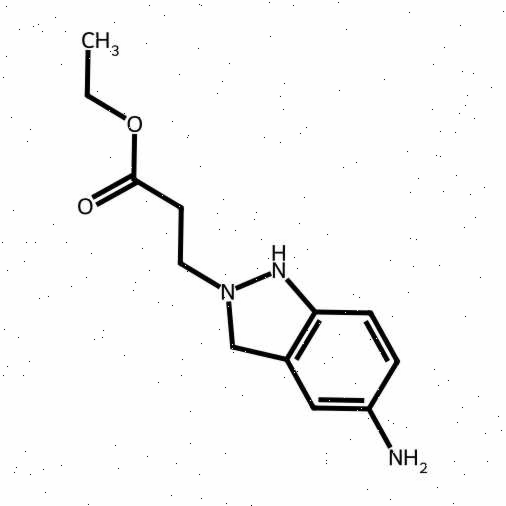 CCOC(=O)CCN1Cc2cc(N)ccc2N1